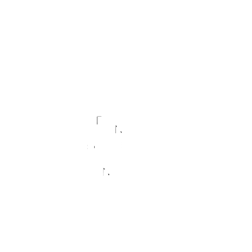 CN(Cc1ccccc1)C(=O)ON(F)Cc1ccccc1